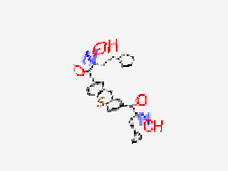 O=C(/C(CCC1CCCC1)=N/O)c1ccc2c(c1)Cc1cc(C(=O)/C(CC3CC3)=N/O)ccc1S2